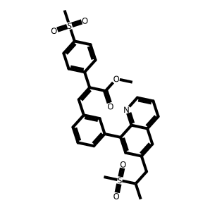 COC(=O)C(=Cc1cccc(-c2cc(CC(C)S(C)(=O)=O)cc3cccnc23)c1)c1ccc(S(C)(=O)=O)cc1